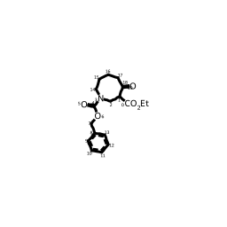 CCOC(=O)C1CN(C(=O)OCc2ccccc2)CCCCC1=O